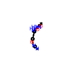 CN(C)C1CCN(CCOc2ccc(C#Cc3ccc(NC(=O)Nc4cc(C(C)(C)C)on4)nc3)cc2)CC1